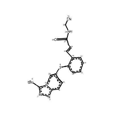 CC(C)(C)c1nnc2ccc(Sc3ccccc3C=CC(=O)NCC#N)cn12